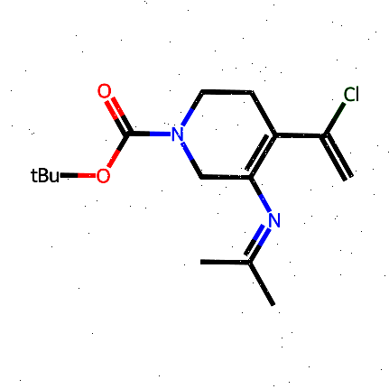 C=C(Cl)C1=C(N=C(C)C)CN(C(=O)OC(C)(C)C)CC1